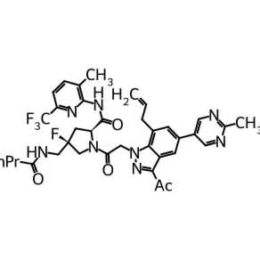 C=CCc1cc(-c2cnc(C)nc2)cc2c(C(C)=O)nn(CC(=O)N3C[C@](F)(CNC(=O)CCC)C[C@H]3C(=O)Nc3nc(C(F)(F)F)ccc3C)c12